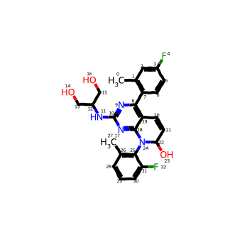 Cc1cc(F)ccc1-c1nc(NC(CO)CO)nc2c1C=CC(O)N2c1c(C)cccc1F